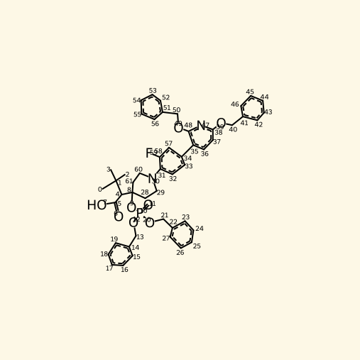 CC(C)(C)C(C(=O)O)C1(OP(=O)(OCc2ccccc2)OCc2ccccc2)CCN(c2ccc(-c3ccc(OCc4ccccc4)nc3OCc3ccccc3)cc2F)CC1